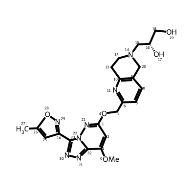 COc1cc(OCc2ccc3c(n2)CCN(C[C@@H](O)CO)C3)nn2c(-c3cc(C)on3)nnc12